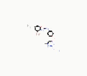 Cc1cc(Oc2ccc(Nc3nc4c(Br)cc(C(F)(F)F)cc4o3)cc2)nc(N)n1